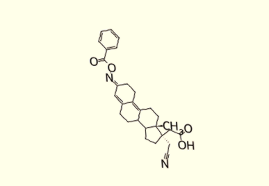 C[C@]12CCC3=C4CCC(=NOC(=O)c5ccccc5)C=C4CCC3C1CC[C@]2(CC#N)CC(=O)O